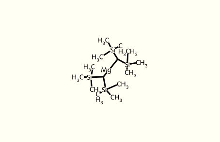 C[Si](C)(C)[CH]([Mg][CH]([Si](C)(C)C)[Si](C)(C)C)[Si](C)(C)C